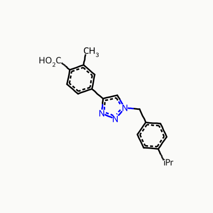 Cc1cc(-c2cn(Cc3ccc(C(C)C)cc3)nn2)ccc1C(=O)O